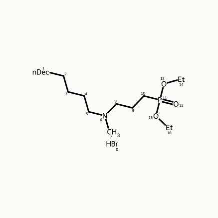 Br.CCCCCCCCCCCCCCN(C)CCCP(=O)(OCC)OCC